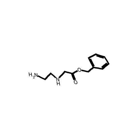 NCCNCC(=O)OCc1ccccc1